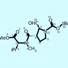 COC(=O)[C@H](C(C)C)N(C)C(=O)[C@H]1CCN(C(=O)OC(C)(C)C)[C@@H]1C=O